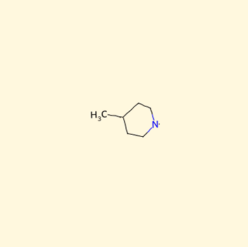 C[C]1CC[N]CC1